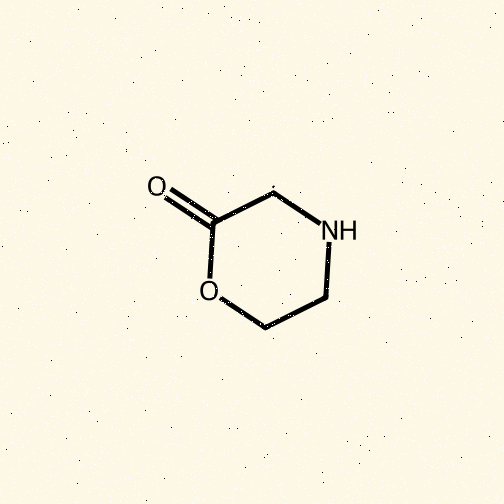 O=C1[CH]NCCO1